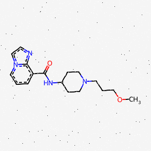 COCCCN1CCC(NC(=O)c2cccn3ccnc23)CC1